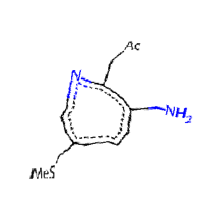 CSc1cnc(C(C)=O)c(N)c1